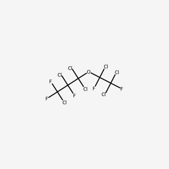 FC(F)(Cl)C(F)(Cl)C(Cl)(Cl)OC(F)(Cl)C(F)(Cl)Cl